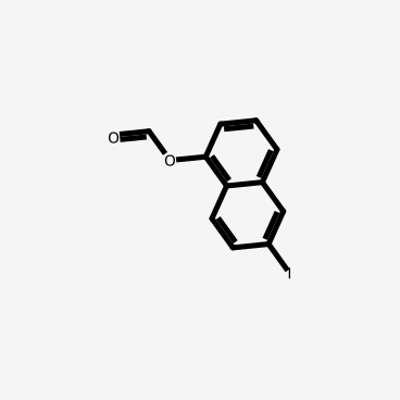 O=COc1cccc2cc(I)ccc12